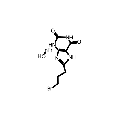 CCCO.O=c1[nH]c(=O)c2[nH]c(CCCBr)nc2[nH]1